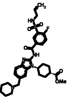 C=CCNS(=O)(=O)c1cc(C(=O)Nc2nc3ccc(CN4CCCCC4)cc3n2[C@H]2CC[C@@H](C(=O)OC)CC2)ccc1F